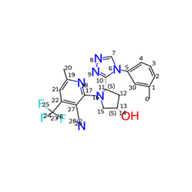 Cc1cccc(-n2cnnc2[C@@H]2C[C@H](O)CN2c2nc(C)cc(C(F)(F)F)c2C#N)c1